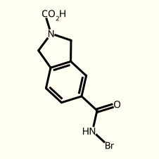 O=C(NBr)c1ccc2c(c1)CN(C(=O)O)C2